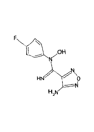 N=C(c1nonc1N)N(O)c1ccc(F)cc1